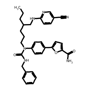 CCCC(CCCN(C(=O)NCc1ccccc1)c1ccc(-c2ccc(C(N)=O)o2)cc1)CNc1ccc(C#N)cn1